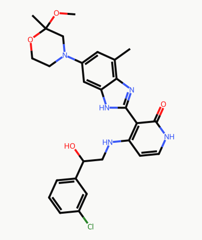 COC1(C)CN(c2cc(C)c3nc(-c4c(NCC(O)c5cccc(Cl)c5)cc[nH]c4=O)[nH]c3c2)CCO1